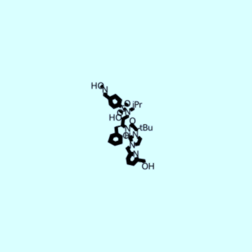 CC(C)CN(C[C@@H](O)[C@H](Cc1ccccc1)NC(=O)[C@@H](N1CCN(Cc2cccc(CO)n2)C1=O)C(C)(C)C)S(=O)(=O)c1ccc(C=NO)cc1